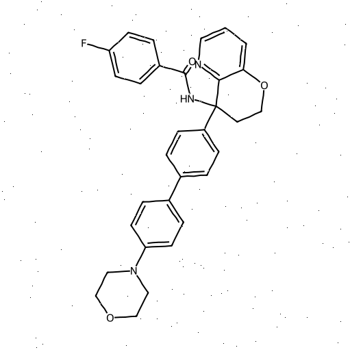 O=C(NC1(c2ccc(-c3ccc(N4CCOCC4)cc3)cc2)CCOc2cccnc21)c1ccc(F)cc1